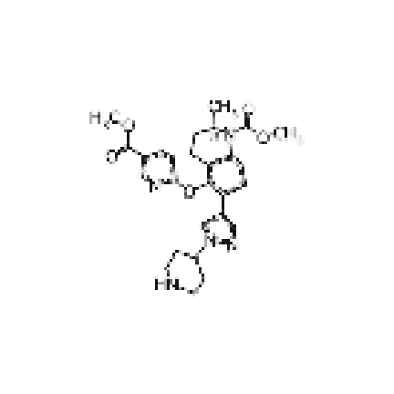 COC(=O)c1ccc(Oc2c(-c3cnn(C4CCNCC4)c3)ccc3c2CC[C@H](C)N3C(=O)OC)nc1